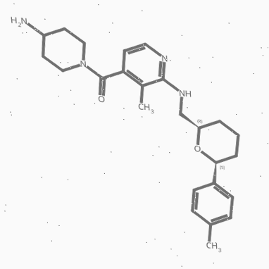 Cc1ccc([C@@H]2CCC[C@H](CNc3nccc(C(=O)N4CCC(N)CC4)c3C)O2)cc1